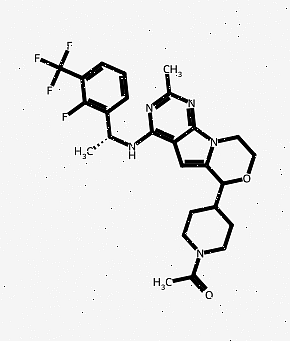 CC(=O)N1CCC(C2OCCn3c2cc2c(N[C@H](C)c4cccc(C(F)(F)F)c4F)nc(C)nc23)CC1